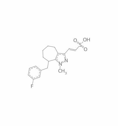 Cn1nc(/C=C/S(=O)(=O)O)c2c1C(Cc1cccc(F)c1)CCCC2